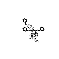 CC(=O)N[C@@]1(CC(C)C)CCN(C(CCc2ccccc2)C(=O)N[C@@H](Cc2ccccc2)[C@@H](O)CNCc2ccccc2)C1=O